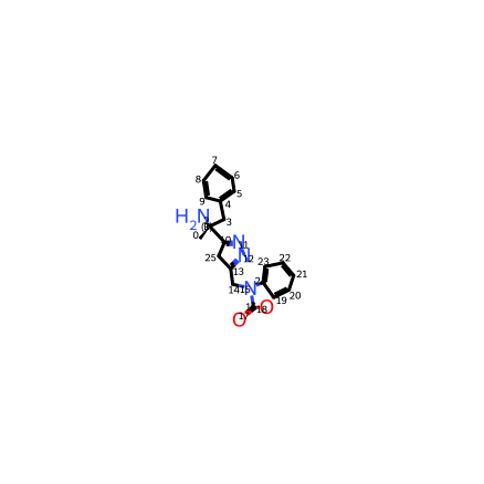 C[C@@](N)(Cc1ccccc1)C1=NN=C(Cn2c(=O)oc3ccccc32)C1